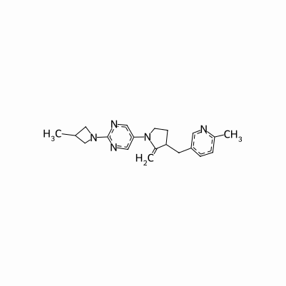 C=C1C(Cc2ccc(C)nc2)CCN1c1cnc(N2CC(C)C2)nc1